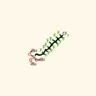 CCC(C)O[Si](CCC(F)(F)C(F)(F)C(F)(F)C(F)(F)C(F)(F)C(F)(F)C(F)(F)C(F)(F)F)(OC(C)CC)OC(C)CC